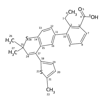 CCc1c(C(=O)O)cccc1-c1ccc2c(c1)C(c1ccc(C)s1)=CC(C)(C)S2